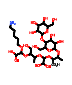 CC(OC(OC(C(=O)O)C(C)OC1OC(CO)C(OC2OC(CO)C(O)C(O)C2O)C(O)C1O)C(O)O)C(CO)OC(OCCCCCN)C(O)O